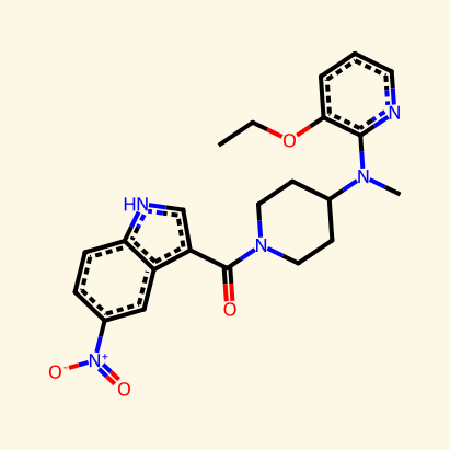 CCOc1cccnc1N(C)C1CCN(C(=O)c2c[nH]c3ccc([N+](=O)[O-])cc23)CC1